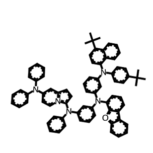 CC(C)(C)c1ccc(N(c2cccc(N(c3cccc(N(c4ccccc4)c4ccc5cc(N(c6ccccc6)c6ccccc6)ccn45)c3)c3cccc4c3oc3ccccc34)c2)c2ccc(C(C)(C)C)c3ccccc23)cc1